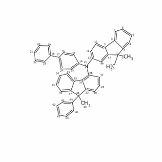 CC1(C)c2ccccc2-c2ccc(N(c3ccc(-c4ccccc4)cc3)c3cccc4c3-c3ccccc3C4(C)c3ccccc3)cc21